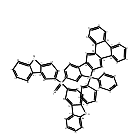 O=P(c1ccc2c(c1)[Si](c1ccccc1)(c1ccccc1)c1cc3c4ccccc4c4ccccc4c3cc1-2)(c1ccc2sc3ccccc3c2c1)c1ccc2sc3ccccc3c2c1